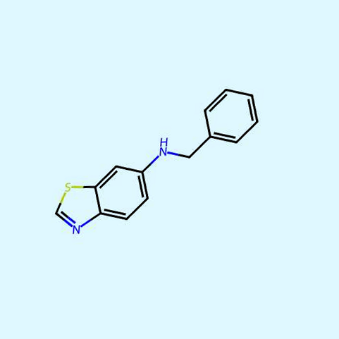 c1ccc(CNc2ccc3ncsc3c2)cc1